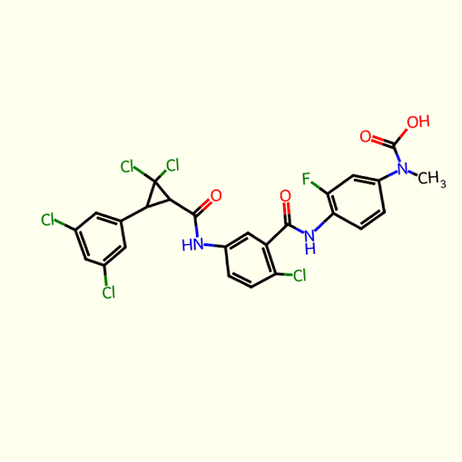 CN(C(=O)O)c1ccc(NC(=O)c2cc(NC(=O)C3C(c4cc(Cl)cc(Cl)c4)C3(Cl)Cl)ccc2Cl)c(F)c1